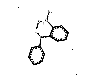 BO[P@](c1ccccc1)c1ccccc1OCC